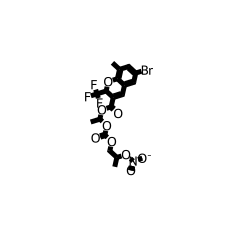 Cc1cc(Br)cc2c1OC(C(F)(F)F)C(C(=O)OC(C)OC(=O)OCC(C)O[N+](=O)[O-])=C2